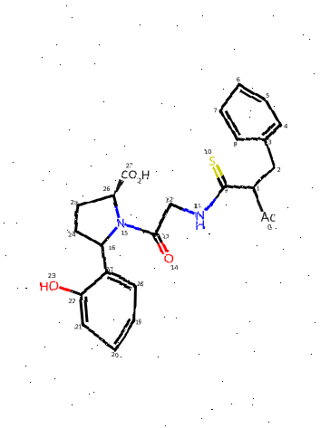 CC(=O)C(Cc1ccccc1)C(=S)NCC(=O)N1C(c2ccccc2O)CC[C@H]1C(=O)O